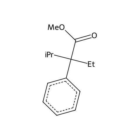 CCC(C(=O)OC)(c1ccccc1)C(C)C